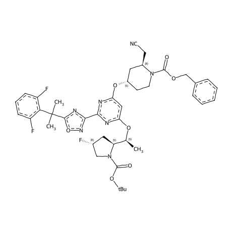 C[C@H](Oc1cc(O[C@H]2CCN(C(=O)OCc3ccccc3)[C@H](CC#N)C2)nc(-c2noc(C(C)(C)c3c(F)cccc3F)n2)n1)[C@@H]1C[C@@H](F)CN1C(=O)OC(C)(C)C